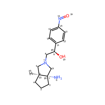 N[C@]12CCC[C@H]1CN(C[C@H](O)c1ccc(N=O)cc1)C2